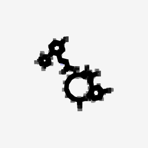 O=C(/C=C/c1cc(Cl)ccc1-n1cnnn1)N[C@H]1CCCCCC(=O)Nc2ccc(Cl)cc2-c2nc1[nH]c2Cl